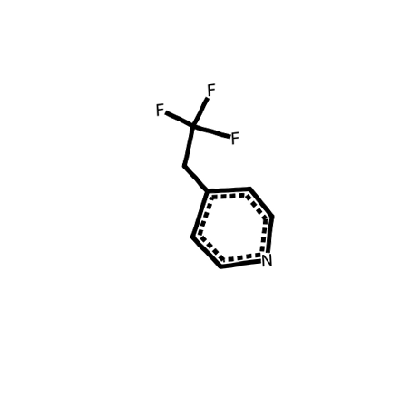 FC(F)(F)Cc1ccncc1